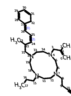 C=C(C)CN1CCN(CCC#N)CCN(CCC)CCN(CC(C)/C=C\C=C2\C=CC=CC2)CC1